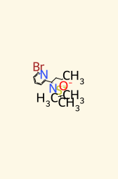 CCC/C(=N\[S+]([O-])C(C)(C)C)c1cccc(Br)n1